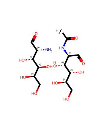 CC(=O)N[C@@H](C=O)[C@@H](O)[C@H](O)[C@H](O)CO.N[C@@H](C=O)[C@@H](O)[C@@H](O)[C@H](O)CO